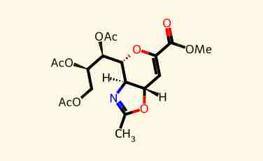 COC(=O)C1=C[C@@H]2OC(C)=N[C@H]2[C@H]([C@H](OC(C)=O)[C@@H](COC(C)=O)OC(C)=O)O1